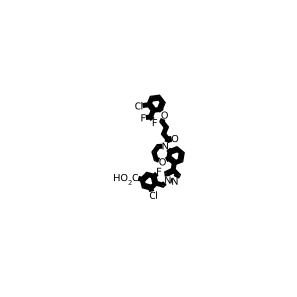 O=C(O)c1cc(F)c(Cn2cc(-c3cccc4c3OCCCN4C(=O)CCCOc3cccc(Cl)c3C(F)F)cn2)c(Cl)c1